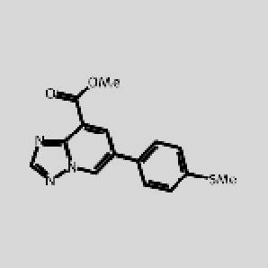 COC(=O)c1cc(-c2ccc(SC)cc2)cn2ncnc12